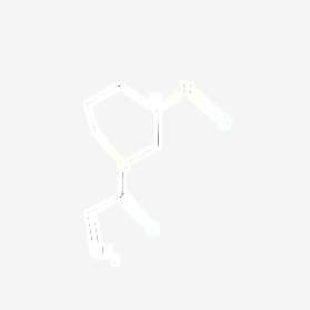 C=CC(=O)N1CCC[C@H](N=O)C1